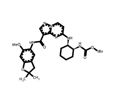 COc1cc2c(cc1NC(=O)c1cnn3ccc(N[C@@H]4CCCC[C@@H]4NC(=O)OC(C)(C)C)nc13)CC(C)(C)O2